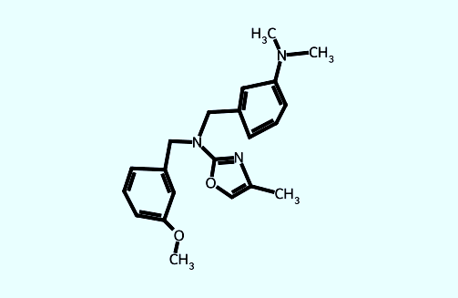 COc1cccc(CN(Cc2cccc(N(C)C)c2)c2nc(C)co2)c1